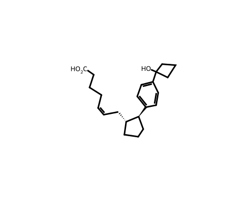 O=C(O)CCC/C=C\C[C@H]1CCC[C@@H]1c1ccc(C2(O)CCC2)cc1